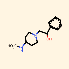 O=C(O)NC1CCN(CC(O)c2ccccc2)CC1